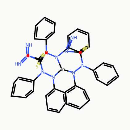 N=NC(=S)N(c1ccccc1)[N](c1ccccc1)[In]([N](c1ccccc1)N(C(=S)N=N)c1ccccc1)[N](c1ccccc1)N(C(=S)N=N)c1ccccc1